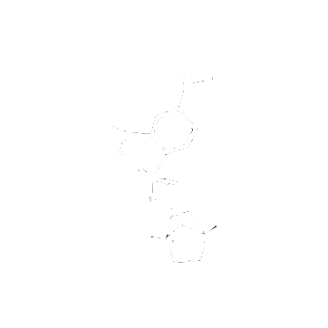 O=[N+]([O-])c1ccc(S(=O)(=O)N[C@@H]2C[C@@H]3CC[C@H]2N3)c([N+](=O)[O-])c1